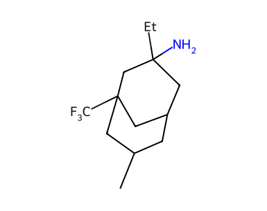 CCC1(N)CC2CC(C)CC(C(F)(F)F)(C2)C1